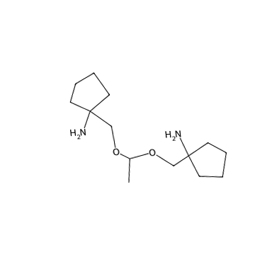 CC(OCC1(N)CCCC1)OCC1(N)CCCC1